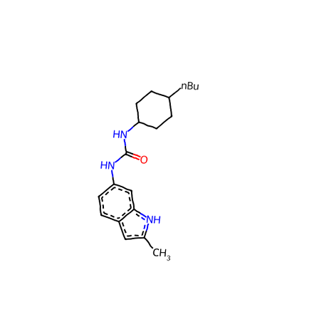 CCCCC1CCC(NC(=O)Nc2ccc3cc(C)[nH]c3c2)CC1